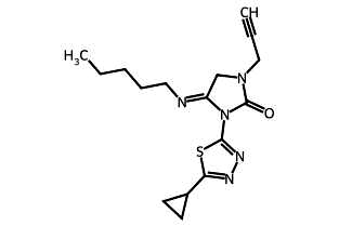 C#CCN1CC(=NCCCCC)N(c2nnc(C3CC3)s2)C1=O